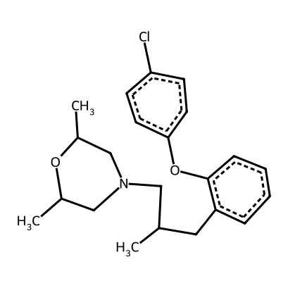 CC(Cc1ccccc1Oc1ccc(Cl)cc1)CN1CC(C)OC(C)C1